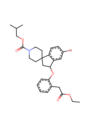 CCOC(=O)Cc1ccccc1OC1CC2(CCN(C(=O)OCC(C)C)CC2)c2ccc(Br)cc21